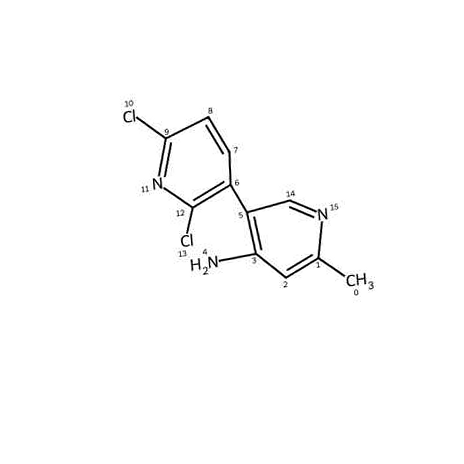 Cc1cc(N)c(-c2ccc(Cl)nc2Cl)cn1